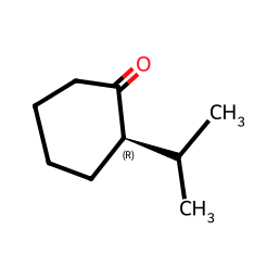 CC(C)[C@H]1CCCCC1=O